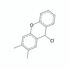 Cc1cc2c(cc1C)C(Cl)c1ccccc1O2